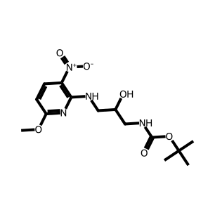 COc1ccc([N+](=O)[O-])c(NCC(O)CNC(=O)OC(C)(C)C)n1